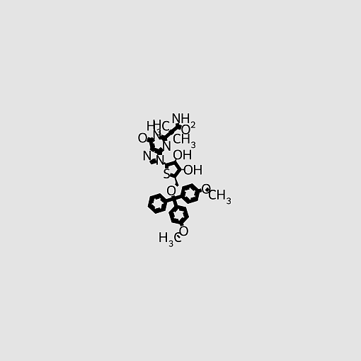 COc1ccc(C(OC[C@H]2S[C@@H](n3cnc4c(=O)[nH]c(C(C)(C)C(N)=O)nc43)[C@H](O)[C@@H]2O)(c2ccccc2)c2ccc(OC)cc2)cc1